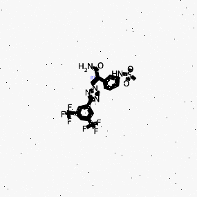 CS(=O)(=O)Nc1cccc(/C(=C\n2cnc(-c3cc(C(F)(F)F)cc(C(F)(F)F)c3)n2)C(N)=O)c1